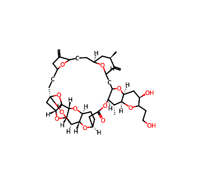 C=C1CC2CC[C@@]34C[C@H]5O[C@H]6[C@@H](O3)[C@H]3O[C@H](CC[C@@H]3O[C@H]6[C@H]5O4)CC(=O)O[C@H]3C(C[C@H]4O[C@@H](CCC1O2)C[C@@H](C)C4=C)O[C@H]1C[C@@H](O)C(CCO)O[C@H]1[C@@H]3C